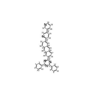 c1ccc(-c2nc(-c3ccccc3)nc(-c3ccc4cc5cc(-c6ccc(-c7cccnc7)cn6)ccc5cc4c3)n2)cc1